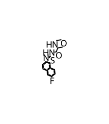 O=C(Nc1nc2ccc3cc(F)ccc3c2s1)C1COCCN1